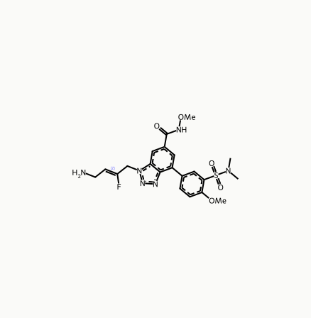 CONC(=O)c1cc(-c2ccc(OC)c(S(=O)(=O)N(C)C)c2)c2nnn(C/C(F)=C/CN)c2c1